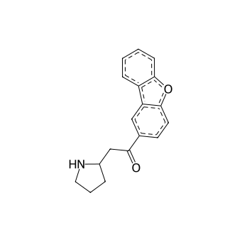 O=C(CC1CCCN1)c1ccc2oc3ccccc3c2c1